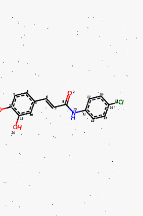 COc1ccc(C=CC(=O)Nc2ccc(Cl)cc2)cc1O